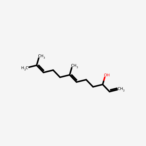 C=CC(O)CC/C=C(\C)CCC=C(C)C